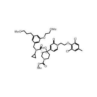 COCCCc1cc(CN(C(=O)[C@H]2CN(C(=O)OC(C)(C)C)CC[C@@]2(OC)c2ccn(CCOc3c(Cl)cc(C)cc3Cl)c(=O)c2)C2CC2)cc(OCCOC)c1